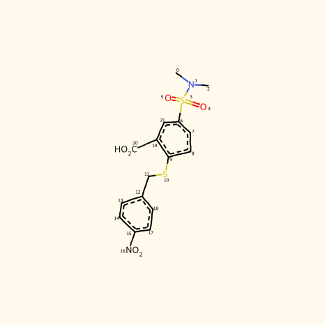 CN(C)S(=O)(=O)c1ccc(SCc2ccc([N+](=O)[O-])cc2)c(C(=O)O)c1